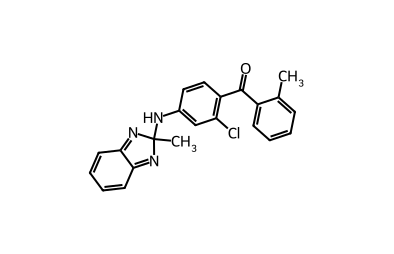 Cc1ccccc1C(=O)c1ccc(NC2(C)N=c3ccccc3=N2)cc1Cl